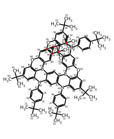 CC(C)(C)c1ccc(N2c3cc4c(cc3B3c5cc(C(C)(C)C)ccc5Oc5cc(C(C)(C)C)cc2c53)B2c3cc5c(cc3N(c3ccc(C(C)(C)C)cc3)c3cc(C(C)(C)C)cc(c32)O4)N(c2ccc(C(C)(C)C)cc2)c2cc(C(C)(C)C)cc3c2B5c2cc(C(C)(C)C)ccc2O3)cc1